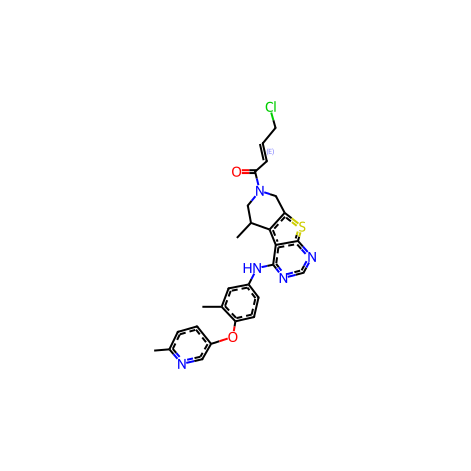 Cc1ccc(Oc2ccc(Nc3ncnc4sc5c(c34)C(C)CN(C(=O)/C=C/CCl)C5)cc2C)cn1